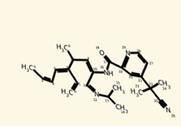 C=C/C(=C\C=C/C)C(C)/C=C(\C=N/C(C)C)NC(=O)c1cc(C(C)(C)C#N)ccn1